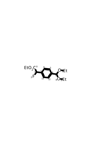 CCOC(=O)C(F)c1ccc(C(OCC)OCC)cc1